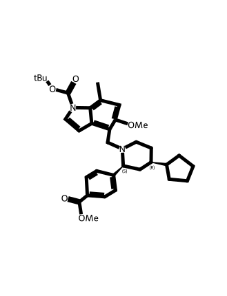 COC(=O)c1ccc([C@@H]2C[C@H](C3CCCC3)CCN2Cc2c(OC)cc(C)c3c2ccn3C(=O)OC(C)(C)C)cc1